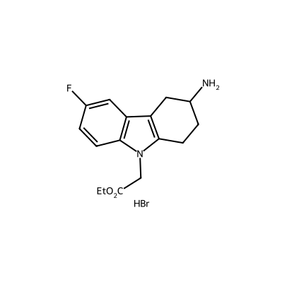 Br.CCOC(=O)Cn1c2c(c3cc(F)ccc31)CC(N)CC2